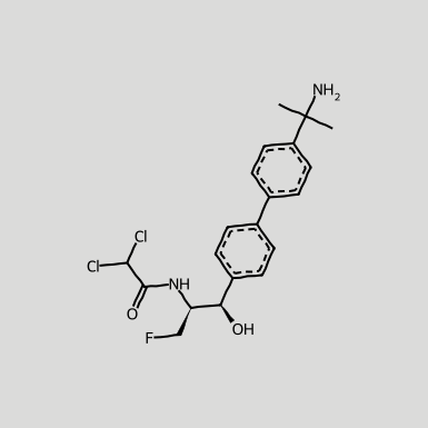 CC(C)(N)c1ccc(-c2ccc([C@@H](O)[C@@H](CF)NC(=O)C(Cl)Cl)cc2)cc1